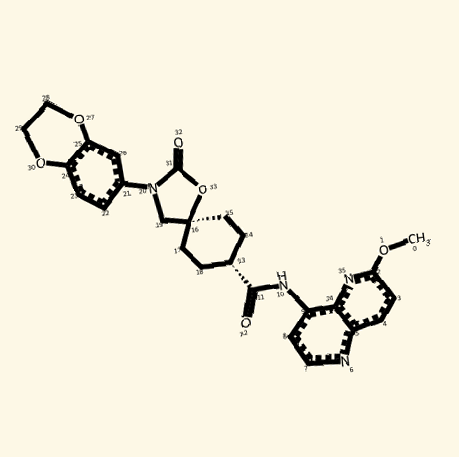 COc1ccc2nccc(NC(=O)[C@H]3CC[C@]4(CC3)CN(c3ccc5c(c3)OCCO5)C(=O)O4)c2n1